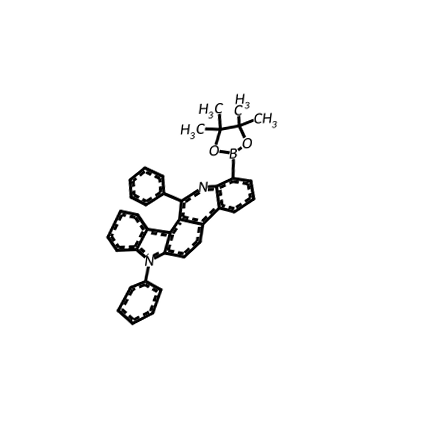 CC1(C)OB(c2cccc3c2nc(-c2ccccc2)c2c3ccc3c2c2ccccc2n3-c2ccccc2)OC1(C)C